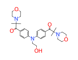 CC(C)(C(=O)c1ccc(N(CCO)c2ccc(C(=O)C(C)(C)N3CCOCC3)cc2)cc1)N1CCOCC1